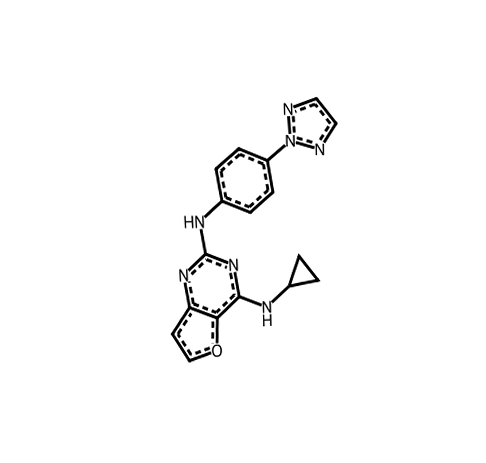 c1cnn(-c2ccc(Nc3nc(NC4CC4)c4occc4n3)cc2)n1